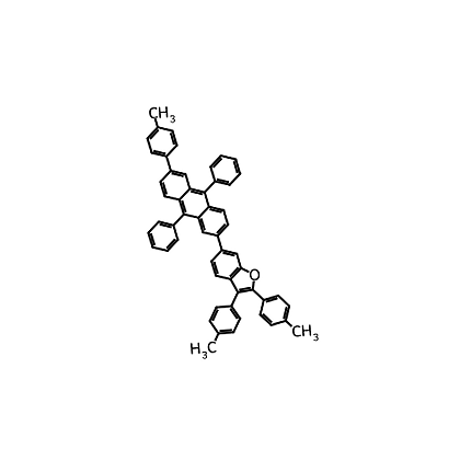 Cc1ccc(-c2ccc3c(-c4ccccc4)c4cc(-c5ccc6c(-c7ccc(C)cc7)c(-c7ccc(C)cc7)oc6c5)ccc4c(-c4ccccc4)c3c2)cc1